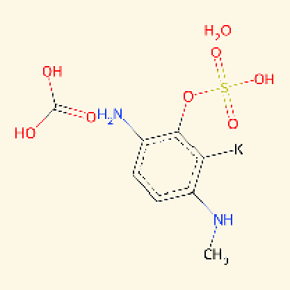 CNc1ccc(N)c(OS(=O)(=O)O)[c]1[K].O.O=C(O)O